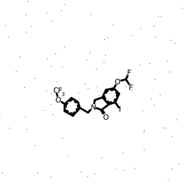 O=C1c2c(I)cc(OC(F)F)cc2CN1Cc1ccc(OC(F)(F)F)cc1